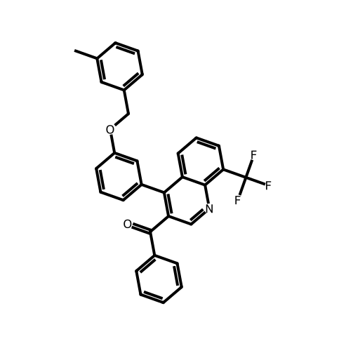 Cc1cccc(COc2cccc(-c3c(C(=O)c4ccccc4)cnc4c(C(F)(F)F)cccc34)c2)c1